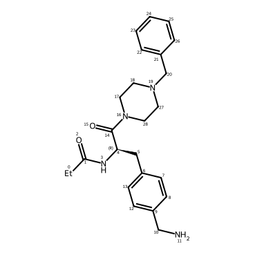 CCC(=O)N[C@H](Cc1ccc(CN)cc1)C(=O)N1CCN(Cc2ccccc2)CC1